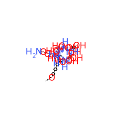 CCCCCOc1ccc(-c2ccc(-c3ccc(C(=O)N[C@H]4C[C@@H](O)C(NCCOCCOCCOCCN)NC(=O)C5[C@@H](O)[C@@H](C)CN5C(=O)C([C@@H](C)O)NC(=O)C([C@H](O)[C@@H](O)c5ccc(O)cc5)NC(=O)C5C[C@@H](O)CC5C(=O)C([C@@H](C)O)NC4=O)cc3)cc2)cc1